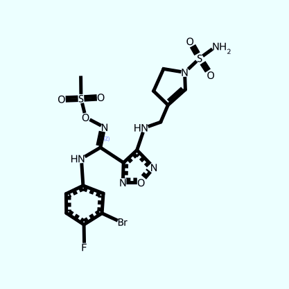 CS(=O)(=O)O/N=C(\Nc1ccc(F)c(Br)c1)c1nonc1NCC1=CN(S(N)(=O)=O)CC1